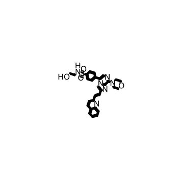 O=S(=O)(NCCO)c1ccc(-c2cnc(N3CCOCC3)c3nc(C=Cc4ccc5ccccc5n4)cn23)cc1